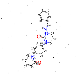 O=C1N(/N=C/c2ccccc2)CCCN1c1ccc(-n2ccccc2=O)cc1